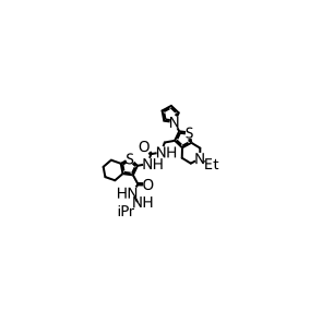 CCN1CCc2c(sc(-n3cccc3)c2CNC(=O)Nc2sc3c(c2C(=O)NNC(C)C)CCCC3)C1